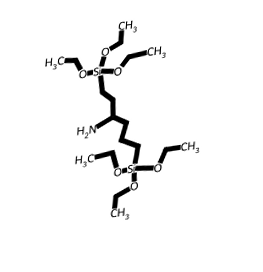 CCO[Si](CCCC(N)CC[Si](OCC)(OCC)OCC)(OCC)OCC